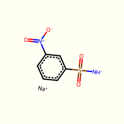 [NH-]S(=O)(=O)c1cccc([N+](=O)[O-])c1.[Na+]